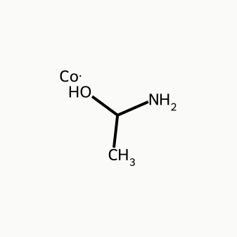 CC(N)O.[Co]